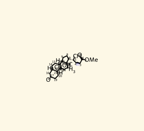 COC(=O)/C=C\C(C)[C@H]1CC[C@]2(O)[C@@H]3CC[C@@H]4CC(=O)CC[C@]4(C)[C@H]3CC[C@]12C